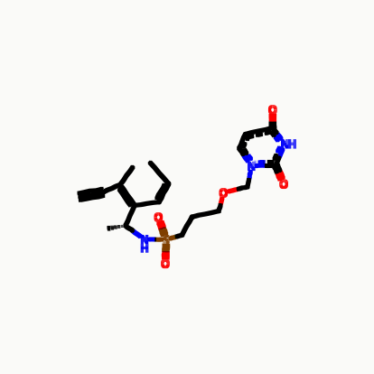 C#C/C(C)=C(/C=C\C)[C@@H](C)NS(=O)(=O)CCCOCn1ccc(=O)[nH]c1=O